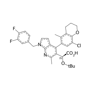 Cc1nc2c(ccn2Cc2ccc(F)c(F)c2)c(-c2cc(Cl)c3c(c2C)CCCO3)c1[C@H](OC(C)(C)C)C(=O)O